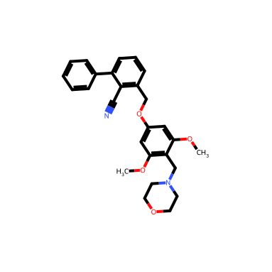 COc1cc(OCc2cccc(-c3ccccc3)c2C#N)cc(OC)c1CN1CCOCC1